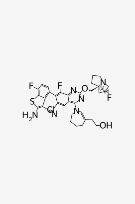 N#Cc1c(N)sc2c(F)ccc(-c3c(Cl)cc4c(N5C=C(CCO)CCCC5)nc(OC[C@@]56CCCN5C[C@H](F)C6)nc4c3F)c12